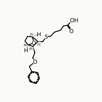 O=C(O)CCCCSC[C@H]1[C@@H](CCOCc2ccccc2)[C@H]2CC[C@@H]1O2